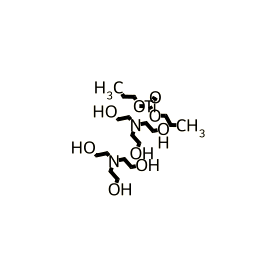 CCC[O][Ti](=[O])[O]CCC.OCCN(CCO)CCO.OCCN(CCO)CCO